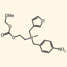 COCOC(=O)OCC[N+](C)(Cc1ccc([N+](=O)[O-])cc1)Cc1ccoc1